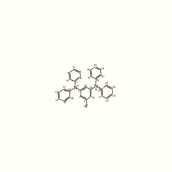 Fc1cc(N(c2ccccc2)c2ccccc2)cc(N(c2ccccc2)c2ccccc2)c1